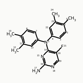 Cc1ccc(N(c2ccc(C)c(C)c2)c2nc(N)ncc2F)cc1C